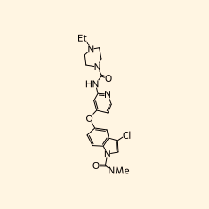 CCN1CCN(C(=O)Nc2cc(Oc3ccc4c(c3)c(Cl)cn4C(=O)NC)ccn2)CC1